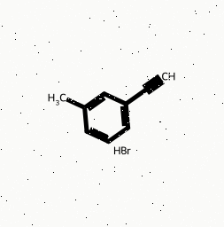 Br.C#Cc1cccc(C)c1